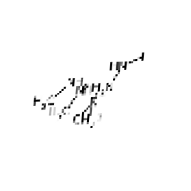 CN.CN.CN.NNI